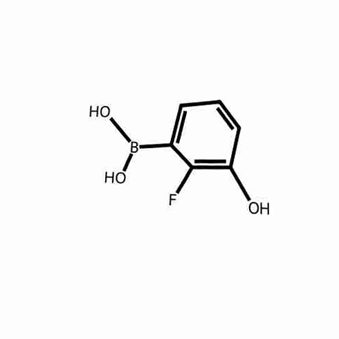 OB(O)c1cccc(O)c1F